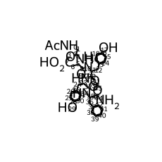 CC(=O)NCC(=O)NC(CC(=O)O)C(=O)NC(Cc1ccc(O)cc1)C(=O)NC(Cc1ccc(O)cc1)C(=O)NC(Cc1ccccc1)C(N)=O